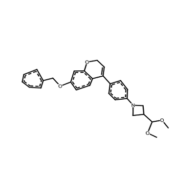 COC(OC)C1CN(c2ccc(C3=CCOc4cc(OCc5ccccc5)ccc43)cc2)C1